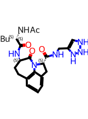 CC[C@H](C)[C@H](NC(C)=O)C(=O)N[C@H]1CCc2cccc3c2N(C1=O)[C@H](C(=O)NCC1=CNNN1)C3